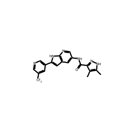 Cc1[nH]nc(C(=O)Nc2cnc3[nH]c(-c4cncc(C(F)(F)F)c4)cc3c2)c1C